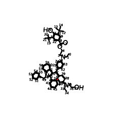 CCN(CCOC(=O)c1cc(C(C)(C)C)c(O)c(C(C)(C)C)c1)c1ccc(C(=C2C=CC(=[N+](CC)CCO)C=C2)c2c(-c3ccccc3)n(Cc3ccccc3)c3ccccc23)cc1